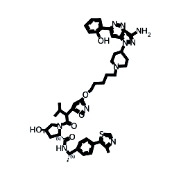 Cc1ncsc1-c1ccc([C@H](C)NC(=O)[C@@H]2C[C@@H](O)CN2C(=O)C(c2cc(OCCCCCN3CCC(n4nc(N)c5nnc(-c6ccccc6O)cc54)CC3)no2)C(C)C)cc1